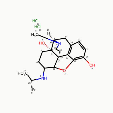 CC(C)[C@@H](NC1CC[C@@]2(O)[C@H]3Cc4ccc(O)c5c4[C@@]2(CCN3C)C1O5)C(=O)O.Cl.Cl